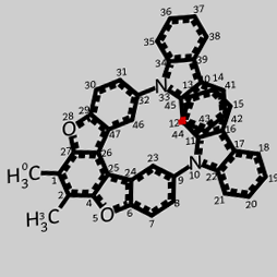 Cc1c(C)c2oc3ccc(-n4c5ccccc5c5ccccc54)cc3c2c2c1oc1ccc(-n3c4ccccc4c4ccccc43)cc12